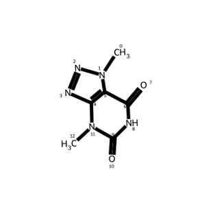 Cn1nnc2c1c(=O)[nH]c(=O)n2C